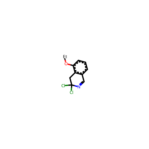 CCOc1cccc2c1CC(Cl)(Cl)N=C2